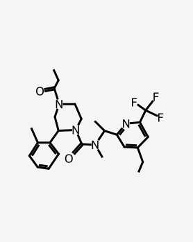 CCC(=O)N1CCN(C(=O)N(C)C(C)c2cc(CC)cc(C(F)(F)F)n2)C(c2ccccc2C)C1